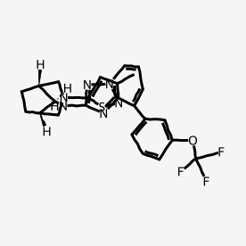 Cc1cc(N2C[C@H]3CC[C@@H](C2)[C@@H]3Nc2nc3c(-c4cccc(OC(F)(F)F)c4)cccn3n2)sn1